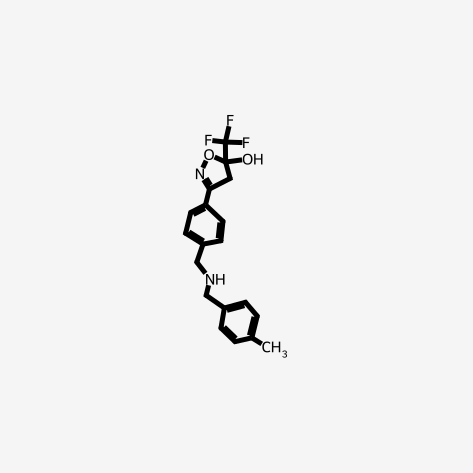 Cc1ccc(CNCc2ccc(C3=NOC(O)(C(F)(F)F)C3)cc2)cc1